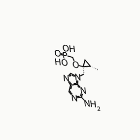 C[C@H]1C[C@]1(Cn1cnc2cnc(N)nc21)OCP(=O)(O)O